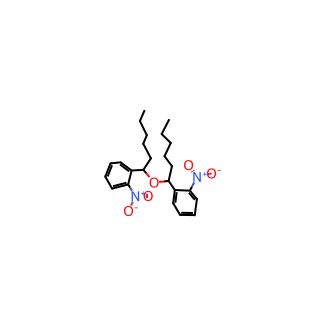 CCCCCC(OC(CCCCC)c1ccccc1[N+](=O)[O-])c1ccccc1[N+](=O)[O-]